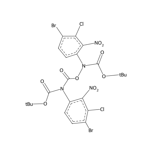 CC(C)(C)OC(=O)N(OC(=O)N(C(=O)OC(C)(C)C)c1ccc(Br)c(Cl)c1[N+](=O)[O-])c1ccc(Br)c(Cl)c1[N+](=O)[O-]